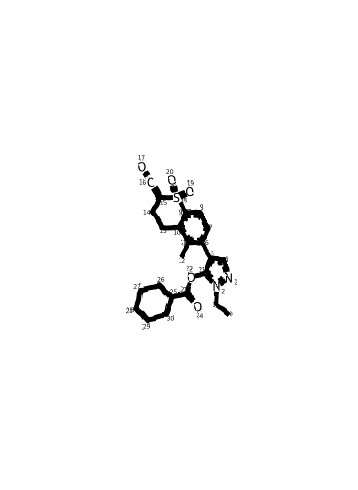 CCn1ncc(-c2ccc3c(c2C)CCC(=C=O)S3(=O)=O)c1OC(=O)C1CCCCC1